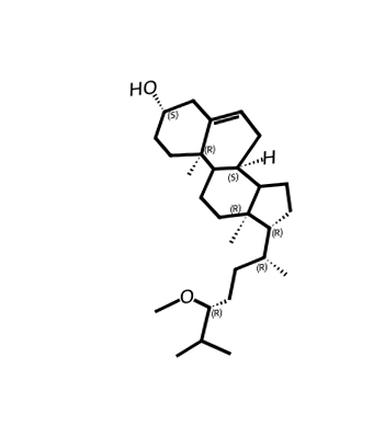 CO[C@H](CC[C@@H](C)[C@H]1CCC2[C@@H]3CC=C4C[C@@H](O)CC[C@]4(C)C3CC[C@@]21C)C(C)C